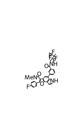 CNC(=O)c1c(-c2ccc(F)cc2)oc2c1cc(-c1cccc(C(=O)NCC(F)(F)C(C)(F)C(C)(F)F)c1)c1[nH]ccc12